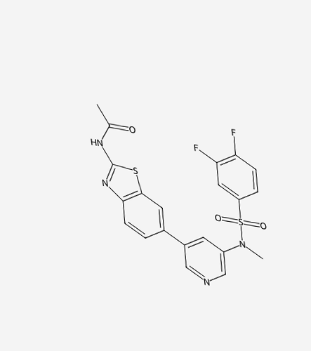 CC(=O)Nc1nc2ccc(-c3cncc(N(C)S(=O)(=O)c4ccc(F)c(F)c4)c3)cc2s1